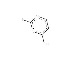 [2H]c1nccc(C)n1